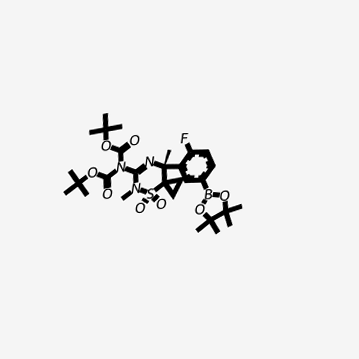 CN1C(N(C(=O)OC(C)(C)C)C(=O)OC(C)(C)C)=N[C@](C)(c2cc(B3OC(C)(C)C(C)(C)O3)ccc2F)C2(CC2)S1(=O)=O